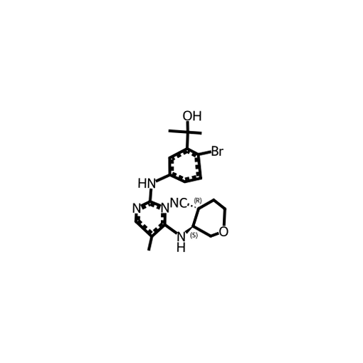 Cc1cnc(Nc2ccc(Br)c(C(C)(C)O)c2)nc1N[C@@H]1COCC[C@H]1C#N